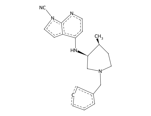 C[C@H]1CCN(Cc2ccccc2)C[C@H]1Nc1ccnc2c1ccn2C#N